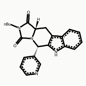 CCCCN1C(=O)[C@@H]2Cc3c([nH]c4ccccc34)[C@H](c3cccnc3)N2C1=O